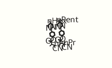 CCCCCCc1cnc(-c2ccc(OC(=O)C(C)C(C#N)CCC)cc2)nc1.CCCCCc1cnc(-c2ccc(OC(=O)C(C)C(C#N)CCC)cc2)nc1